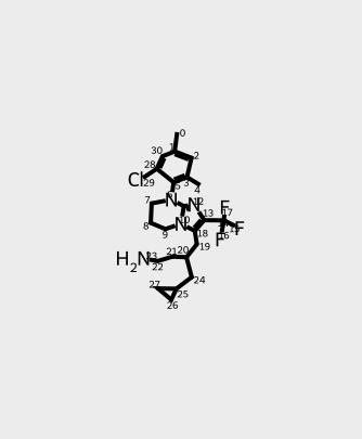 Cc1cc(C)c(N2CCCn3c2nc(C(F)(F)F)c3CC(CCN)CC2CC2)c(Cl)c1